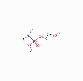 COCCOP(=O)(OC)N(C)C